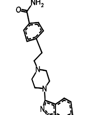 NC(=O)c1ccc(CCN2CCN(c3nsc4ccccc34)CC2)cc1